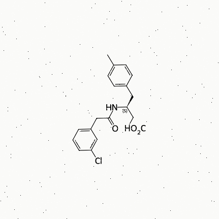 Cc1ccc(C[C@@H](CC(=O)O)NC(=O)Cc2cccc(Cl)c2)cc1